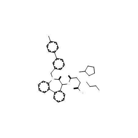 CCCC[C@H](C(N)=O)[C@@H](CC1CCCC1)C(=O)NC1C(=O)N(Cc2cccc(-c3ccc(C)cc3)c2)c2ccccc2-c2ccccc21